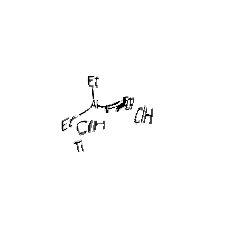 C[CH2][Al]([CH2]C)[CH2]C.Cl.Cl.Cl.[Ti]